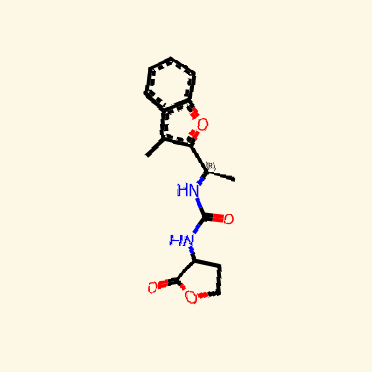 Cc1c([C@@H](C)NC(=O)NC2CCOC2=O)oc2ccccc12